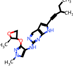 CCC(C)C#Cc1cc2cnc(Nc3cn(C)nc3OC3CO[C@@H]3C)nc2[nH]1